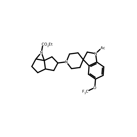 CCOC(=O)N1C2CCC3CC(N4CCC5(CC4)CN(C(C)=O)c4ccc(OC(F)(F)F)cc45)CC321